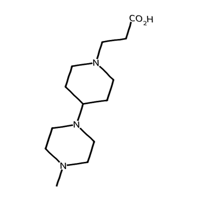 CN1CCN(C2CCN(CCC(=O)O)CC2)CC1